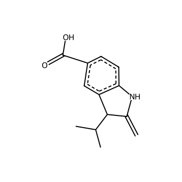 C=C1Nc2ccc(C(=O)O)cc2C1C(C)C